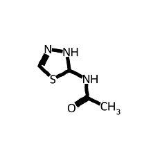 CC(=O)N[C]1NN=CS1